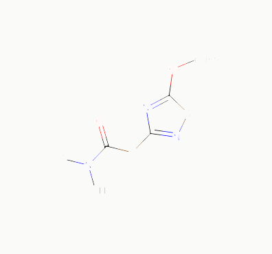 CCCCCCCOc1nc(SC(=O)N(C)C)ns1